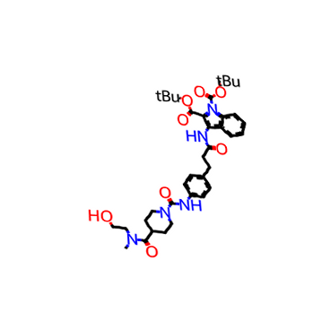 CN(CCO)C(=O)C1CCN(C(=O)Nc2ccc(CCC(=O)Nc3c(C(=O)OC(C)(C)C)n(C(=O)OC(C)(C)C)c4ccccc34)cc2)CC1